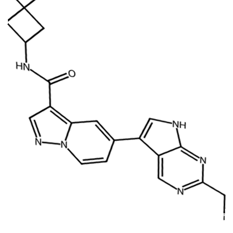 CC(C)Cc1ncc2c(-c3ccn4ncc(C(=O)NC5CC(F)(F)C5)c4c3)c[nH]c2n1